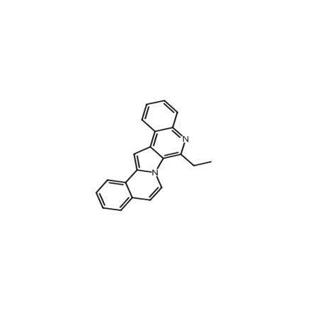 CCc1nc2ccccc2c2cc3c4ccccc4ccn3c12